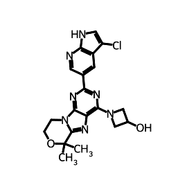 CC1(C)OCCn2c1nc1c(N3CC(O)C3)nc(-c3cnc4[nH]cc(Cl)c4c3)nc12